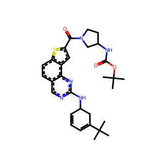 CC(C)(C)OC(=O)NC1CCN(C(=O)c2cc3c(ccc4cnc(NC5C=CC=C(C(C)(C)C)C5)nc43)s2)C1